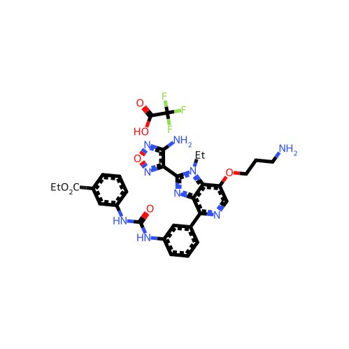 CCOC(=O)c1cccc(NC(=O)Nc2cccc(-c3ncc(OCCCN)c4c3nc(-c3nonc3N)n4CC)c2)c1.O=C(O)C(F)(F)F